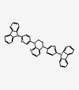 c1cnc2c(c1)N(c1ccc(-n3c4ccccc4c4ccccc43)nc1)CCN2c1ccc(-n2c3ccccc3c3ccccc32)nc1